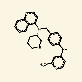 Cc1cc(Nc2ccc(CN(c3ccnc4ccccc34)[C@H]3CCCNC3)cc2)ccn1